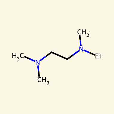 [CH2]N(CC)CCN(C)C